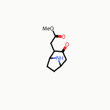 COC(=O)CC1C(=O)CC2CCC1N2